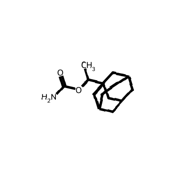 CC(OC(N)=O)C12CC3CC(CC(C3)C1)C2